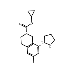 Cc1cc2c(c([C@@H]3CCCN3)c1)CN(C(=O)OC1CC1)CC2